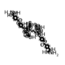 N=C(N)Nc1ccc(C(=O)Oc2ccc(CNS(=O)(=O)N(CCC[C@H](OC(=O)C(F)(F)F)N([C@@H](CC(=O)O)C(=O)O)S(=O)(=O)NCc3ccc(OC(=O)c4ccc(NC(=N)N)cc4)cc3)[C@@H](CC(=O)O)C(=O)O)cc2)cc1